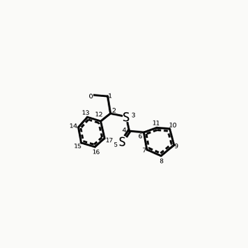 CCC(SC(=S)c1ccccc1)c1ccccc1